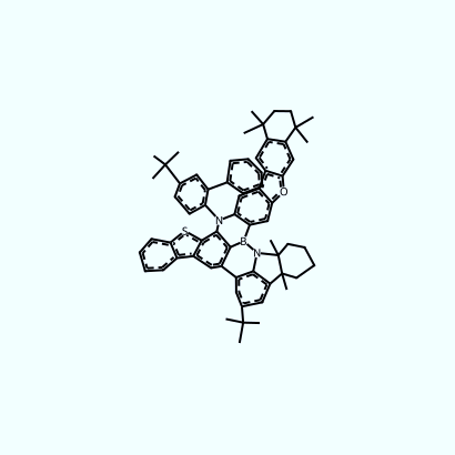 CC(C)(C)c1ccc(N2c3cc4c(cc3B3c5c(cc6c(sc7ccccc76)c52)-c2cc(C(C)(C)C)cc5c2N3C2(C)CCCCC52C)oc2cc3c(cc24)C(C)(C)CCC3(C)C)c(-c2ccccc2)c1